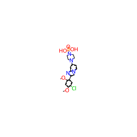 COc1cc(OC)c(-c2cn3ccc(N4CCN(P(=O)(O)O)CC4)cc3n2)cc1Cl